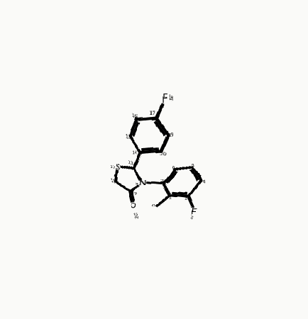 Cc1c(F)cccc1N1C(=O)CSC1c1ccc(F)cc1